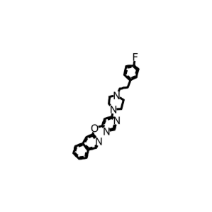 Fc1ccc(CCN2CCN(c3cc(Oc4cc5ccccc5cn4)ncn3)CC2)cc1